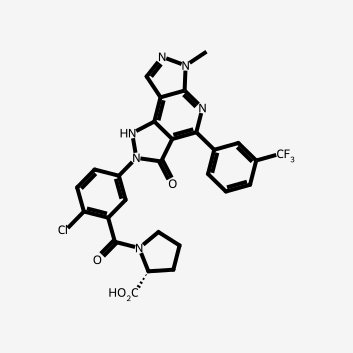 Cn1ncc2c3[nH]n(-c4ccc(Cl)c(C(=O)N5CCC[C@@H]5C(=O)O)c4)c(=O)c3c(-c3cccc(C(F)(F)F)c3)nc21